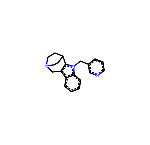 c1cncc(Cn2c3c(c4ccccc42)CN2CCC3CC2)c1